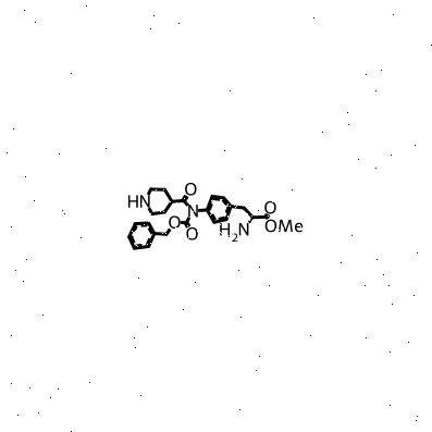 COC(=O)[C@@H](N)Cc1ccc(N(C(=O)OCc2ccccc2)C(=O)C2CCNCC2)cc1